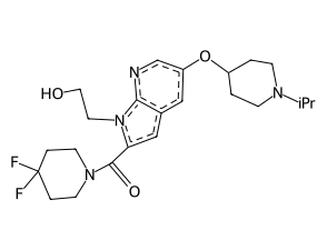 CC(C)N1CCC(Oc2cnc3c(c2)cc(C(=O)N2CCC(F)(F)CC2)n3CCO)CC1